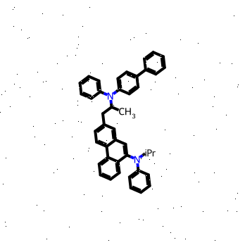 CC(C)N(c1ccccc1)c1cc2cc(CC(C)N(c3ccccc3)c3ccc(-c4ccccc4)cc3)ccc2c2ccccc12